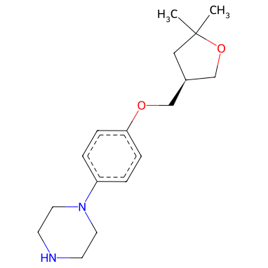 CC1(C)C[C@H](COc2ccc(N3CCNCC3)cc2)CO1